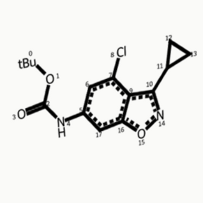 CC(C)(C)OC(=O)Nc1cc(Cl)c2c(C3CC3)noc2c1